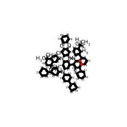 Cc1cc2c(cc1N1c3cc4c(cc3B3c5c(cc(N(c6ccc(-c7ccccc7)cc6)c6ccc(-c7ccccc7)cc6)cc51)-c1c(ccc5c1sc1ccccc15)N3c1ccc(C(C)(C)C)cc1-c1ccccc1)Oc1ccccc1O4)C(C)(C)CCC2(C)C